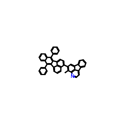 Cc1c(-c2ccc3c4c(cccc24)-c2c-3c(-c3ccccc3)c3ccccc3c2-c2ccccc2)cc2c3c(ccnc13)-c1ccccc1-2